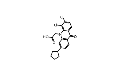 O=C(O)Cn1c2cc(C3CCCC3)ccc2c(=O)c2ccc(Cl)c(Cl)c21